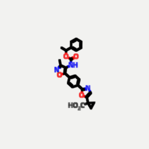 Cc1noc(-c2ccc(-c3ncc(C4(C(=O)O)CC4)o3)cc2)c1NC(=O)OC(C)c1ccccc1